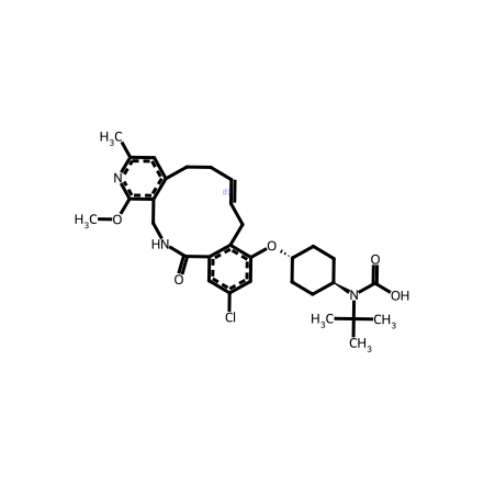 COc1nc(C)cc2c1CNC(=O)c1cc(Cl)cc(O[C@H]3CC[C@H](N(C(=O)O)C(C)(C)C)CC3)c1C/C=C/CC2